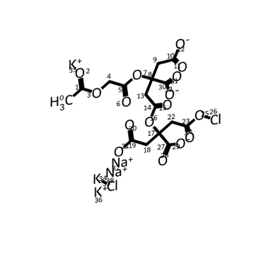 CC(=O)OCC(=O)OC(CC(=O)[O-])(CC(=O)OC(CC(=O)[O-])(CC(=O)OCl)C(=O)[O-])C(=O)[O-].[Cl][K].[K+].[K+].[Na+].[Na+]